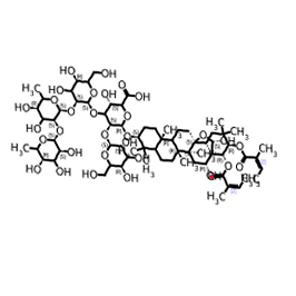 C/C=C(/C)C(=O)O[C@H]1[C@H](OC(=O)/C(C)=C\C)[C@@]23C(CC1(C)C)[C@]1(CCC4[C@@]5(C)CC[C@H](O[C@@H]6OC(C(=O)O)[C@@H](O)C(O[C@@H]7OC(CO)[C@H](O)C(O)[C@@H]7O[C@@H]7OC(C)[C@H](O)C(O)[C@@H]7O[C@@H]7OC(C)[C@H](O)C(O)[C@@H]7O)[C@@H]6O[C@@H]6OC(CO)[C@H](O)C(O)[C@@H]6O)C(C)(C)C5CC[C@@]4(C)[C@]1(C)C[C@H]2O)O[C@@H]3O